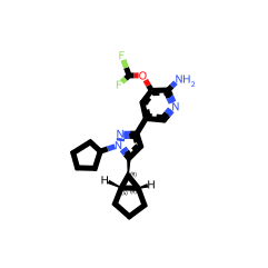 Nc1ncc(-c2cc([C@H]3[C@@H]4CCC[C@@H]43)n(C3CCCC3)n2)cc1OC(F)F